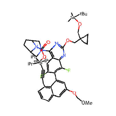 COCOc1cc(-c2c(F)cc3c(N4CC5CCC(C4)N5C(=O)OC(C)(C)C)nc(OCC4(CO[Si](C)(C)C(C)(C)C)CC4)nc3c2F)c2c(C#C[Si](C(C)C)(C(C)C)C(C)C)cccc2c1